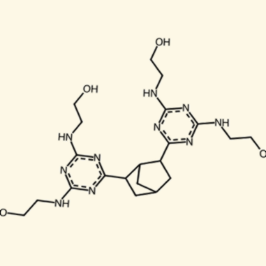 OCCNc1nc(NCCO)nc(C2CC3CC(c4nc(NCCO)nc(NCCO)n4)C2C3)n1